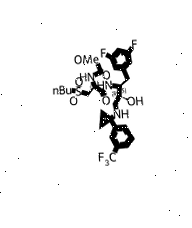 CCCCS(=O)(=O)C[C@@H](NC(=O)OC)C(=O)N[C@@H](Cc1cc(F)cc(F)c1)[C@H](O)CNC1(c2cccc(C(F)(F)F)c2)CC1